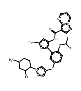 CN1CCC(n2cc(Oc3ccc(OC(F)F)c(-c4nn(C)cc4NC(=O)c4cnn5cccnc45)c3)cn2)C(O)C1